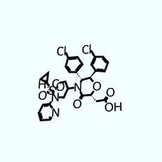 CCC(CN(c1ccccn1)S(=O)(=O)C1CC1)N1C(=O)[C@@H](CC(=O)O)O[C@H](c2cccc(Cl)c2)[C@H]1c1ccc(Cl)cc1